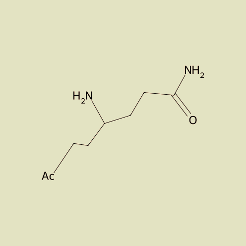 CC(=O)CCC(N)CCC(N)=O